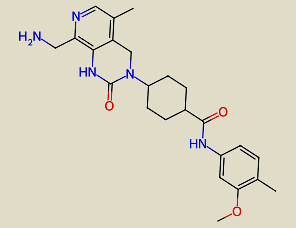 COc1cc(NC(=O)C2CCC(N3Cc4c(C)cnc(CN)c4NC3=O)CC2)ccc1C